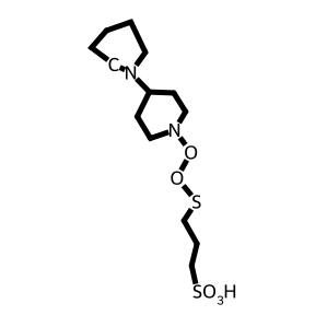 O=S(=O)(O)CCCSOON1CCC(N2CCCCC2)CC1